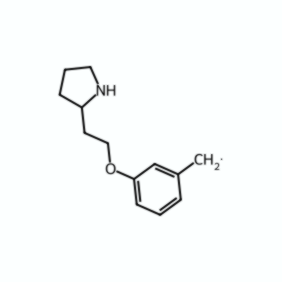 [CH2]c1cccc(OCCC2CCCN2)c1